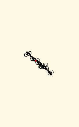 C=CC(=O)OCCCCOc1ccc(C(=O)Nc2ccc(OC(=O)c3ccc(OCCCCOC(=O)C=C)cc3)cc2Cl)cc1